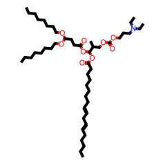 CCCCC/C=C/C/C=C/CCCCCCCC(=O)OC(OC(=O)CCC(OCCCCCCCC)OCCCCCCCC)C(C)COC(=O)OCCCN(CC)CC